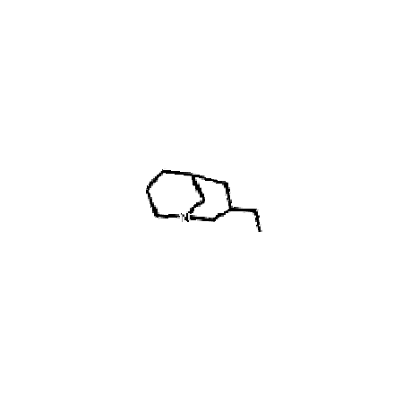 CCC1CC2CCCN(C1)C2